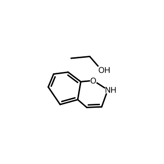 C1=Cc2ccccc2ON1.CCO